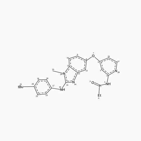 CCC(=O)Nc1cc(Oc2ccc3c(c2)nc(Nc2ccc(C(C)(C)C)cc2)n3C)ccn1